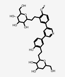 OCC1CC(O)C(O)C(CCc2cc(-c3cncc(-c4ccc(OF)c(CCC5OC(CO)[C@@H](O)C(O)C5O)c4)c3)ccc2O)O1